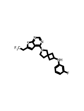 Fc1cccc(NC2CC3(CCN(c4ncnc5sc(CC(F)(F)F)cc45)C3)C2)c1